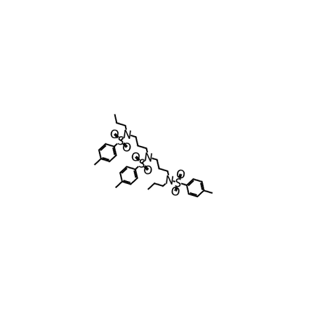 CCCN(CCCN(CCCN(CCC)S(=O)(=O)c1ccc(C)cc1)S(=O)(=O)c1ccc(C)cc1)S(=O)(=O)c1ccc(C)cc1